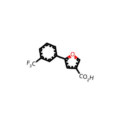 O=C(O)c1coc(-c2cccc(C(F)(F)F)c2)c1